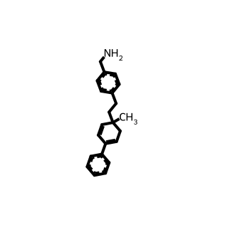 CC1(CCc2ccc(CN)cc2)C=CC(c2ccccc2)=CC1